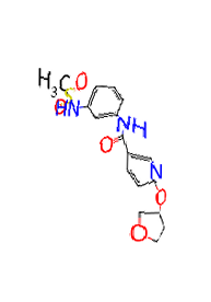 CS(=O)(=O)Nc1cccc(NC(=O)c2ccc(OC3CCOC3)nc2)c1